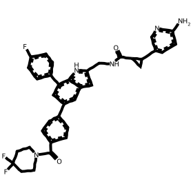 Nc1ccc(C2CC2C(=O)NCc2cc3cc(-c4ccc(C(=O)N5CCC(F)(F)CC5)cc4)cc(-c4ccc(F)cc4)c3[nH]2)cn1